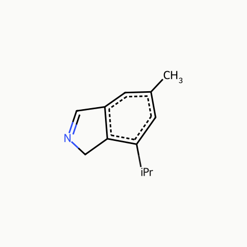 Cc1cc2c(c(C(C)C)c1)CN=C2